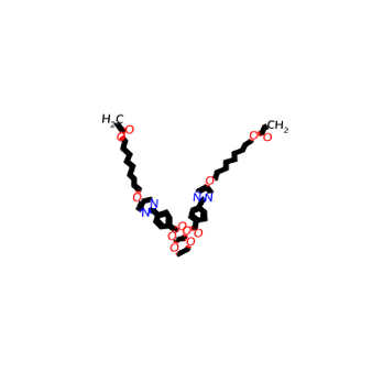 C=CC(=O)OCCCCCCCCCOc1cnc(-c2ccc(C(=O)OC3OCCOC3OC(=O)c3ccc(-c4ncc(OCCCCCCCCCOC(=O)C=C)cn4)cc3)cc2)nc1